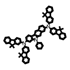 CC1(C)c2ccccc2-c2ccc(N(c3ccc4c(c3)C(C)(C)c3ccccc3-4)c3ccc4cc5c6ccc(N(c7ccc8c(c7)C(C)(C)c7ccccc7-8)c7ccc8c(c7)C(C)(C)c7ccccc7-8)cc6n(-c6ccccc6)c5cc4c3)cc21